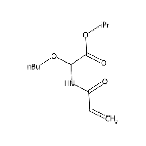 C=CC(=O)NC(OCCCC)C(=O)OC(C)C